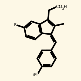 CC1=C(CC(=O)O)c2cc(F)ccc2/C1=C\c1ccc(C(C)C)cc1